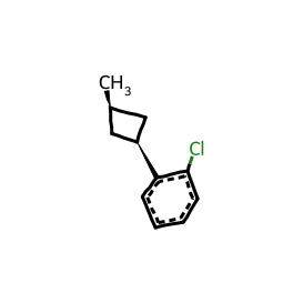 C[C@H]1C[C@@H](c2ccccc2Cl)C1